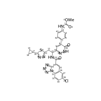 COC(=O)Nc1ccc(-c2cc(C(Cc3nnc(C4CC4)s3)NC(=O)C=Cc3cc(Cl)ccc3-n3cnnn3)n[nH]c2=O)cc1